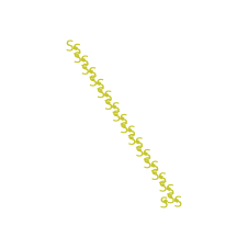 S=S=S=S=S=S=S=S=S=S=S=S=S=S=S=S=S=S=S=S=S=S=S=S=S=S=S(=S)=S